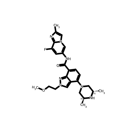 COCCn1cc2c(N3C[C@H](C)N[C@@H](C)C3)ccc(C(=O)Nc3cc(F)c4nc(C)cn4c3)c2n1